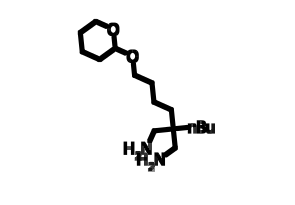 CCCCC(CN)(CN)CCCCOC1CCCCO1